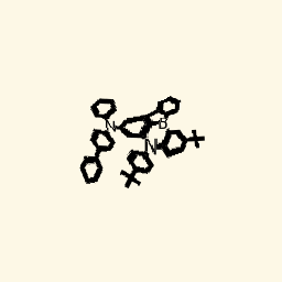 CC(C)(C)c1ccc(N2c3ccc(C(C)(C)C)cc3B3c4ccccc4-c4cc(N(c5ccccc5)c5ccc(-c6ccccc6)cc5)cc2c43)cc1